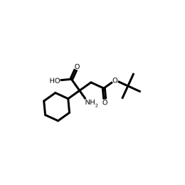 CC(C)(C)OC(=O)CC(N)(C(=O)O)C1CCCCC1